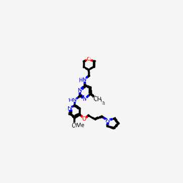 COc1cnc(Nc2nc(C)cc(NCC3CCOCC3)n2)cc1OCCCN1CCCC1